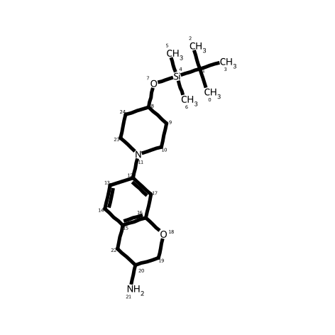 CC(C)(C)[Si](C)(C)OC1CCN(c2ccc3c(c2)OCC(N)C3)CC1